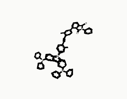 Cc1cc(-c2cccc3c2C(=O)N(c2ccccc2)C3=O)ccc1C#Cc1ccc(-n2c3ccc(N(c4ccccc4)c4ccccc4)cc3c3cc(N(c4ccccc4)c4ccccc4)ccc32)cc1C